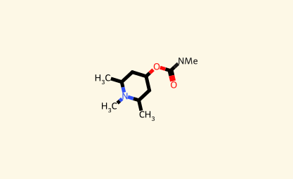 CNC(=O)OC1CC(C)N(C)C(C)C1